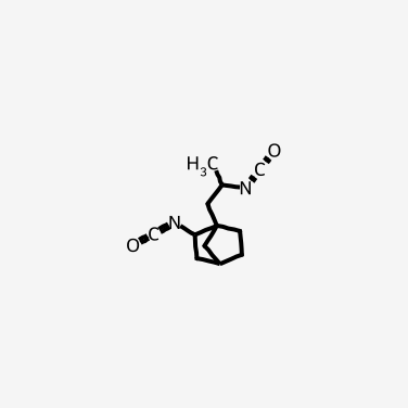 CC(CC12CCC(CC1N=C=O)C2)N=C=O